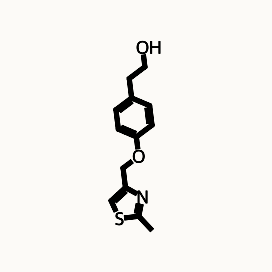 Cc1nc(COc2ccc(CCO)cc2)cs1